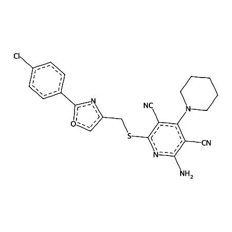 N#Cc1c(N)nc(SCc2coc(-c3ccc(Cl)cc3)n2)c(C#N)c1N1CCCCC1